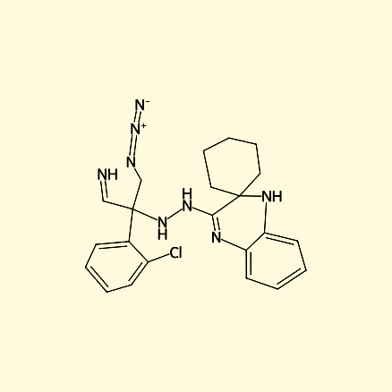 [N-]=[N+]=NCC(C=N)(NNC1=Nc2ccccc2NC12CCCCC2)c1ccccc1Cl